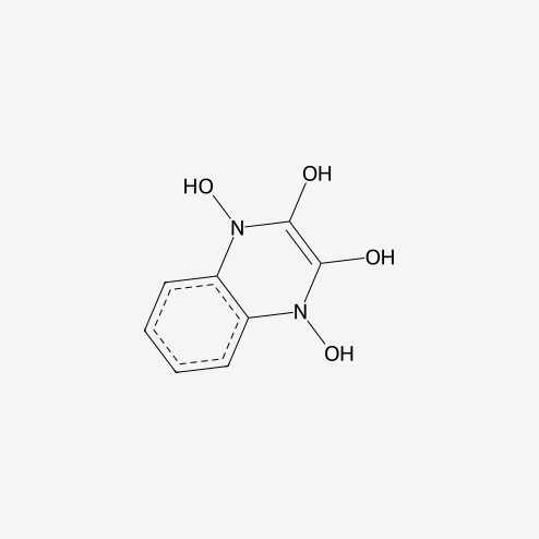 OC1=C(O)N(O)c2ccccc2N1O